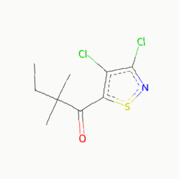 CCC(C)(C)C(=O)c1snc(Cl)c1Cl